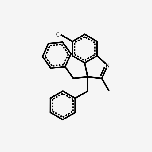 CC1=Nc2ccc(Cl)cc2C1(Cc1ccccc1)Cc1ccccc1